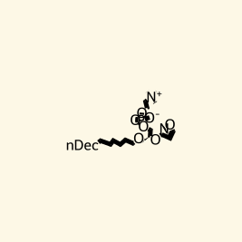 CCCCCCCCCCCCCCCCOC[C@H](COP(=O)([O-])OCC[N+](C)(C)C)Oc1ccon1